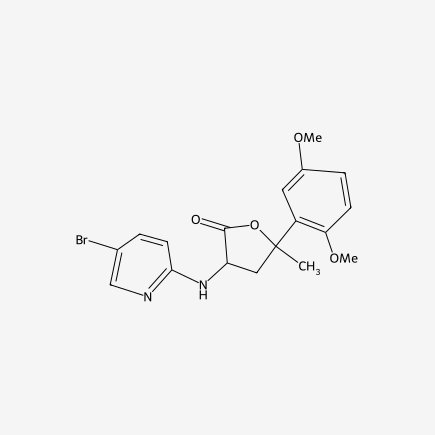 COc1ccc(OC)c(C2(C)CC(Nc3ccc(Br)cn3)C(=O)O2)c1